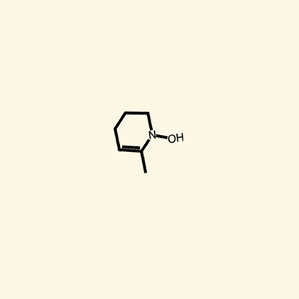 CC1=CCCCN1O